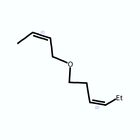 C/C=C\COCC/C=C\CC